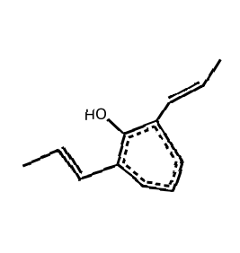 CC=Cc1cccc(C=CC)c1O